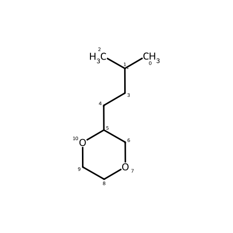 C[C](C)CCC1COCCO1